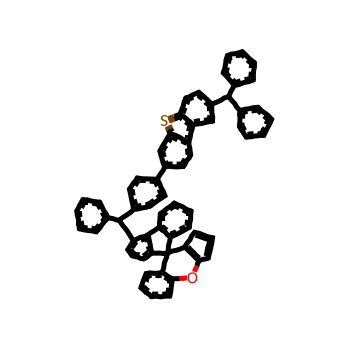 C1=CC2=C(C=1)C1(c3ccccc3O2)c2ccccc2-c2c(C(c3ccccc3)c3ccc(-c4ccc5c(c4)sc4ccc(C(c6ccccc6)c6ccccc6)cc45)cc3)cccc21